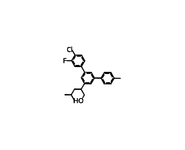 Cc1ccc(-c2cc(-c3ccc(Cl)c(F)c3)cc(C(CO)CC(C)C)c2)cc1